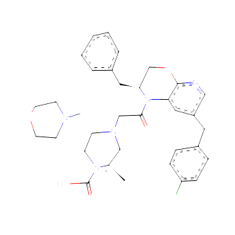 C[C@@H]1COCCN1C[C@H]1CN(C(=O)O)[C@H](C)CN1CC(=O)N1c2cc(Cc3ccc(F)cc3)cnc2OC[C@@H]1Cc1ccccc1